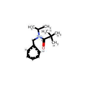 CC(C)[N+](Cc1ccccc1)C(=O)C(C)(C)C